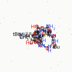 CC[C@H](C)C1NC(=O)CNC(=O)[C@@H]2Cc3c([nH]c4cc(OCCCCCCN(C)C(C)(C)C)ccc34)[S+]([O-])C[C@H](NC(=O)CNC1=O)C(=O)N[C@@H](CC(N)=O)C(=O)N1C[C@H](O)C[C@H]1C(=O)N[C@@H]([C@@H](C)[C@@H](O)CO)C(=O)N2